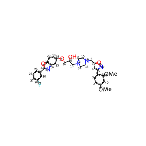 COc1ccc(-c2cc(CN3CCN(C[C@@H](O)COc4ccc5oc(-c6cccc(F)c6)nc5c4)CC3)on2)c(OC)c1